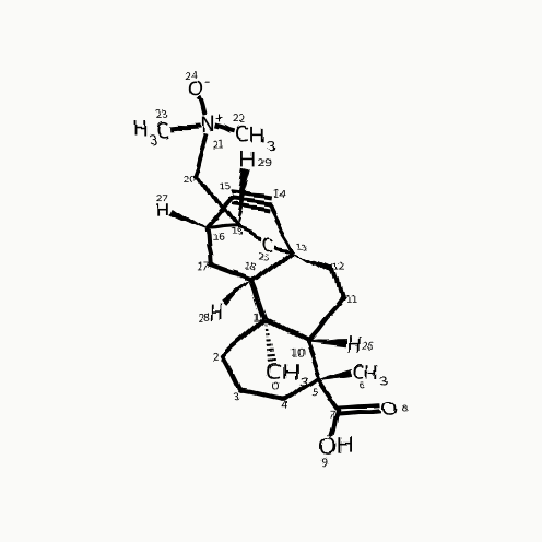 C[C@@]12CCC[C@@](C)(C(=O)O)[C@H]1CC[C@@]13C#C[C@@H](C[C@H]12)[C@H](C[N+](C)(C)[O-])C3